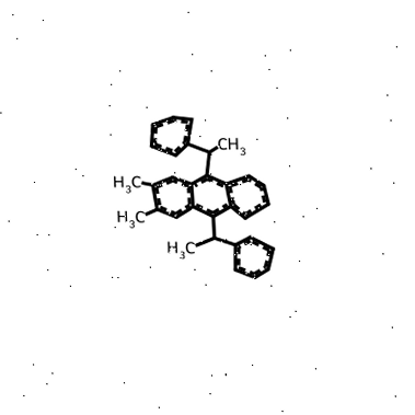 Cc1cc2c(C(C)c3ccccc3)c3ccccc3c(C(C)c3ccccc3)c2cc1C